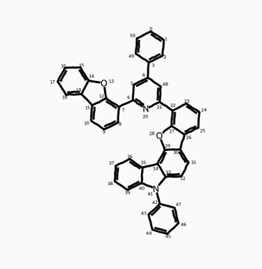 c1ccc(-c2cc(-c3cccc4c3oc3ccccc34)nc(-c3cccc4c3oc3c4ccc4c3c3ccccc3n4-c3ccccc3)c2)cc1